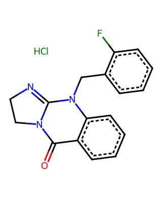 Cl.O=C1c2ccccc2N(Cc2ccccc2F)C2=NCCN12